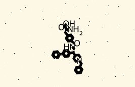 N[C@@H](Cc1ccc(C(=O)NC[C@@H](c2ccc(-c3ccccc3)cc2)C2CCN(Cc3ccccc3)CC2)cc1)C(=O)O